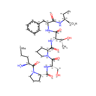 CSCC[C@H](N)C(=O)N1CCC[C@H]1C(=O)N[C@@H](CO)C(=O)N1CCC[C@H]1C(=O)N[C@H](C(=O)N[C@@H](Cc1ccccc1)C(=O)N[C@@H](CC(C)C)C(=O)O)[C@@H](C)O